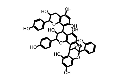 Oc1ccc(C2Oc3c(c(O)cc(O)c3C3c4c(O)cc5c(c4OC(c4ccc(O)cc4)C3O)C3c4c(O)cc(O)cc4OC(c4ccccc4O)(O5)C3O)CC2O)cc1